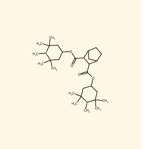 CN1C(C)(C)CC(OC(=O)C2C3CCC(C3)C2C(=O)OC2CC(C)(C)N(C)C(C)(C)C2)CC1(C)C